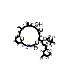 C=C1CC(C)CC2CC=CC(C/C=C\C(=O)OC(C(C=CC3CC(C)=CCO3)O[Si](C)(C)C(C)(C)C)CC3OC3C(O)C1)O2